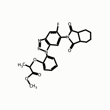 COC(=O)C(C)Oc1ccccc1-n1nnc2cc(F)c(N3C(=O)C4CCCCC4C3=O)cc21